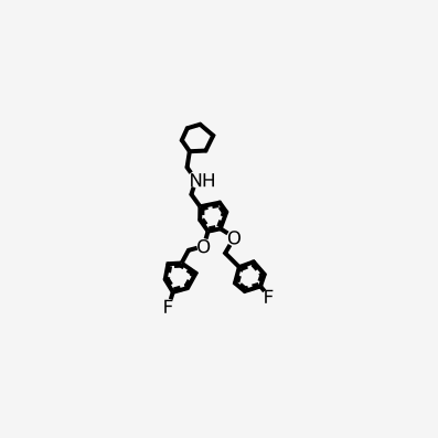 Fc1ccc(COc2ccc(CNCC3CCCCC3)cc2OCc2ccc(F)cc2)cc1